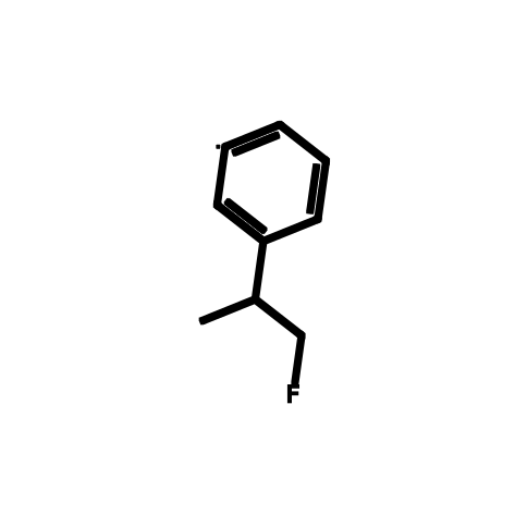 CC(CF)c1c[c]ccc1